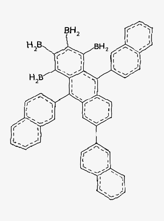 Bc1c(B)c(B)c2c(-c3ccc4ccccc4c3)c3cc(-c4ccc5ccccc5c4)ccc3c(-c3ccc4ccccc4c3)c2c1B